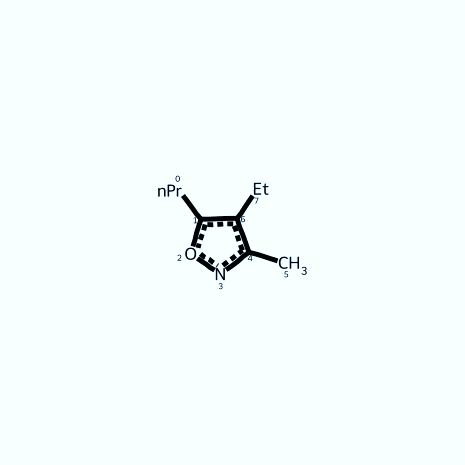 CCCc1onc(C)c1CC